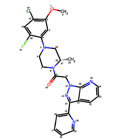 COc1cc(N2CCN(C(=O)Cn3nc(-c4ccccn4)c4cccnc43)[C@@H](C)C2)c(F)cc1Cl